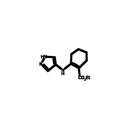 CCOC(=O)C1=C(Nc2cn[nH]c2)CCCC1